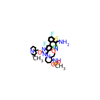 C[C@H]1CN2CCCC2(COc2nc3c4c(c(Cl)c(-c5ccc(F)c6sc(N)c(C#N)c56)c(F)c4n2)OCCC2C(NS(C)(=O)=O)CCCCN32)C1